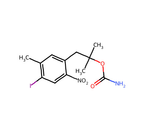 Cc1cc(CC(C)(C)OC(N)=O)c([N+](=O)[O-])cc1I